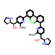 COc1nc(-c2cccc(-c3cccc(-c4ccc([C@@H](O)[C@H]5CCCN5)c(OC)n4)c3Cl)c2Cl)ccc1[C@@H](O)[C@H]1CCCN1